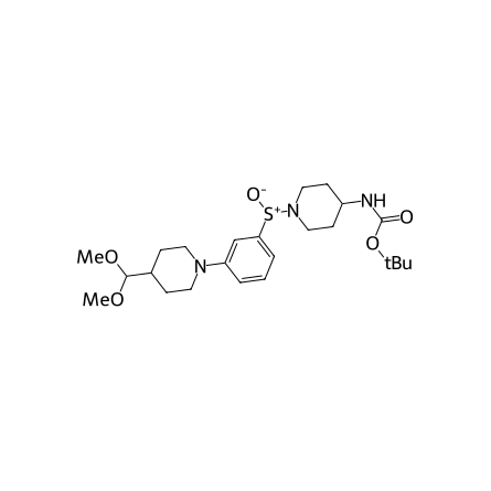 COC(OC)C1CCN(c2cccc([S+]([O-])N3CCC(NC(=O)OC(C)(C)C)CC3)c2)CC1